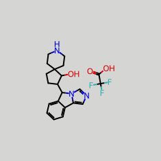 O=C(O)C(F)(F)F.OC1C(C2c3ccccc3-c3cncn32)CCC12CCNCC2